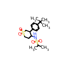 CC(C)S(=O)(=O)NC1CCS(=O)(=O)CC1c1ccc(C(C)(C)C)cc1